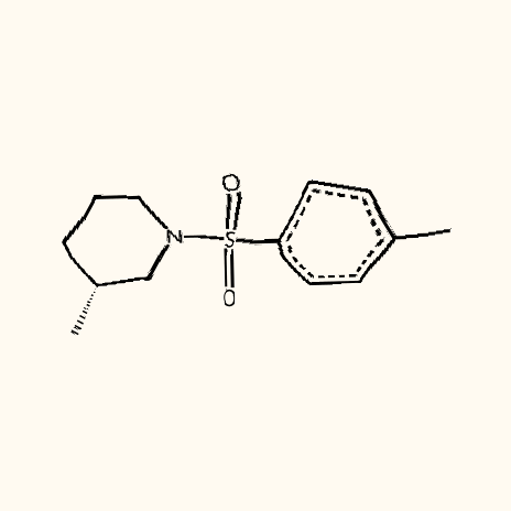 Cc1ccc(S(=O)(=O)N2CCC[C@@H](C)C2)cc1